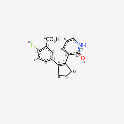 O=C(O)c1cc(C2=C(c3ccc[nH]c3=O)CCC2)ccc1F